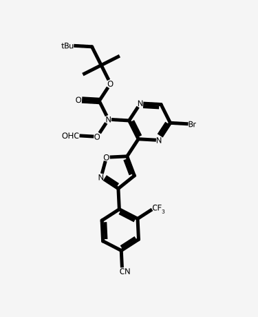 CC(C)(C)CC(C)(C)OC(=O)N(OC=O)c1ncc(Br)nc1-c1cc(-c2ccc(C#N)cc2C(F)(F)F)no1